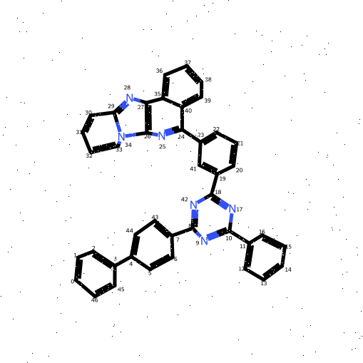 c1ccc(-c2ccc(-c3nc(-c4ccccc4)nc(-c4cccc(-c5nc6c(nc7ccccn76)c6ccccc56)c4)n3)cc2)cc1